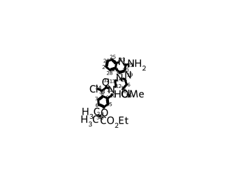 CCOC(=O)C(C)(C)Oc1cccc(CN(CCn2c(CCOC)nc3c(N)nc4ccccc4c32)C(=O)CCl)c1.Cl